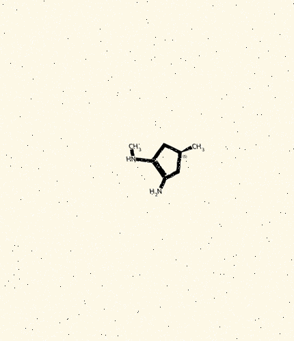 CNC1=C(N)C[C@H](C)C1